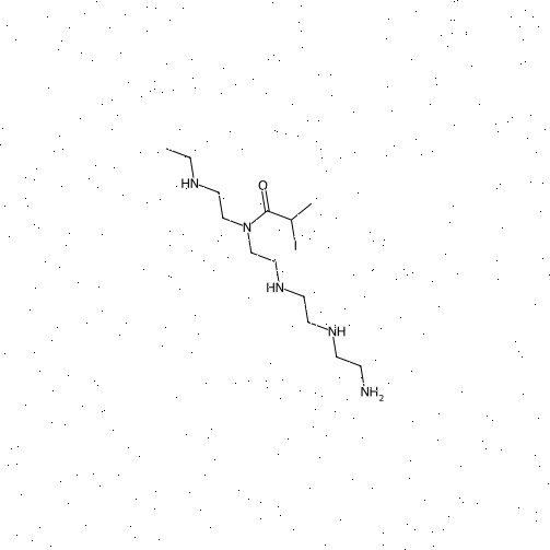 CCNCCN(CCNCCNCCN)C(=O)C(C)I